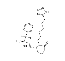 C[C@](O)(/C=C/[C@H]1CCCC(=O)N1CCCCCCc1nnn[nH]1)C(F)(F)c1ccccc1